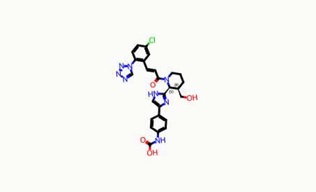 O=C(O)Nc1ccc(-c2c[nH]c([C@@H]3[C@H](CO)CCCN3C(=O)C=Cc3cc(Cl)ccc3-n3cnnn3)n2)cc1